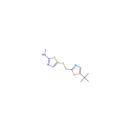 CNc1ncc(SCc2ncc(C(C)(C)C)o2)s1